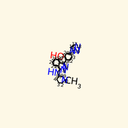 CN1CCC[C@@H](Nc2nnc(-c3ccc(-n4ccnn4)cc3O)c3ccccc23)C1